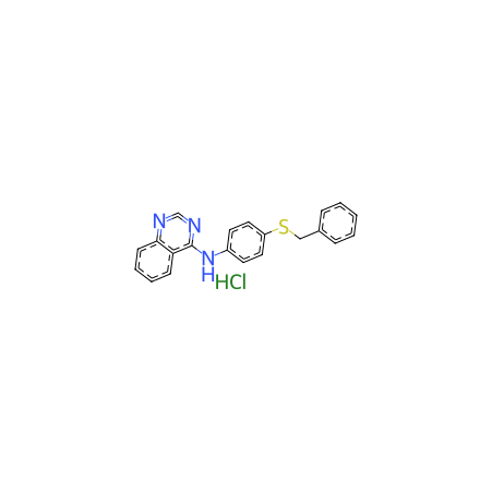 Cl.c1ccc(CSc2ccc(Nc3ncnc4ccccc34)cc2)cc1